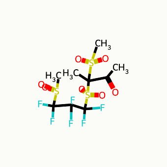 CC(=O)C(C)(S(C)(=O)=O)S(=O)(=O)C(F)(F)C(F)(F)C(F)(F)S(C)(=O)=O